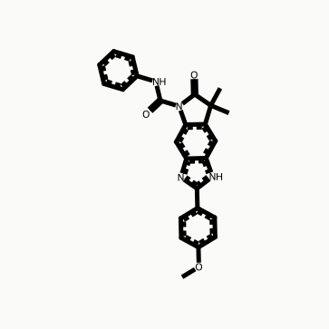 COc1ccc(-c2nc3cc4c(cc3[nH]2)C(C)(C)C(=O)N4C(=O)Nc2ccccc2)cc1